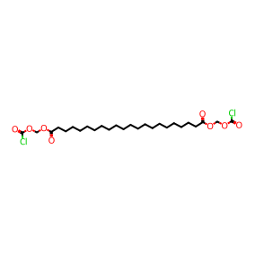 O=C(Cl)OCOC(=O)CCCCCCCCCCCCCCCCCCCCC(=O)OCOC(=O)Cl